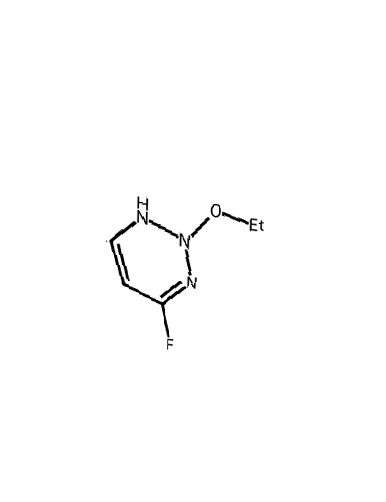 CCON1N=C(F)C=[C]N1